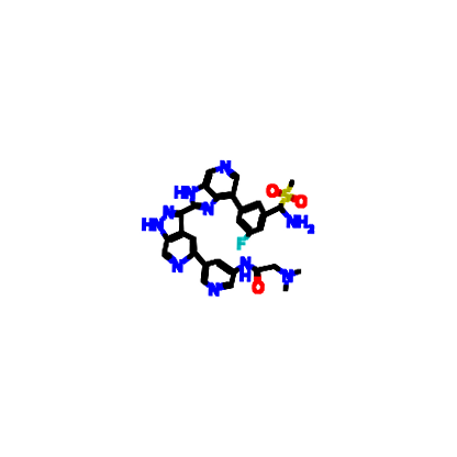 CN(C)CC(=O)Nc1cncc(-c2cc3c(-c4nc5c(-c6cc(F)cc(C(N)S(C)(=O)=O)c6)cncc5[nH]4)n[nH]c3cn2)c1